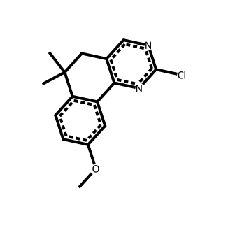 COc1ccc2c(c1)-c1nc(Cl)ncc1CC2(C)C